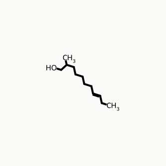 CCC=CCCCCCC(C)CO